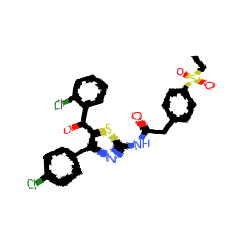 CCS(=O)(=O)c1ccc(CC(=O)Nc2nc(-c3ccc(Cl)cc3)c(C(=O)c3ccccc3Cl)s2)cc1